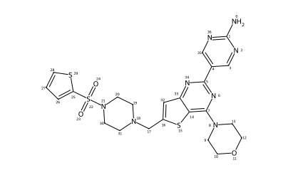 Nc1ncc(-c2nc(N3CCOCC3)c3sc(CN4CCN(S(=O)(=O)c5cccs5)CC4)cc3n2)cn1